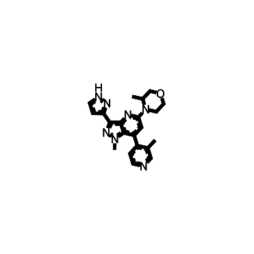 Cc1cnccc1-c1cc(N2CCOCC2C)nc2c(-c3cc[nH]n3)nn(C)c12